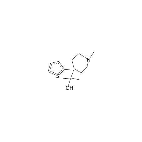 CN1CCC(c2cccs2)(C(C)(C)O)CC1